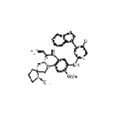 C=CC(=O)Nc1cc(Nc2ncc(Cl)c(-c3cnn4ccccc34)n2)c(OC)cc1N1CC[C@]2(CCCN2C)C1